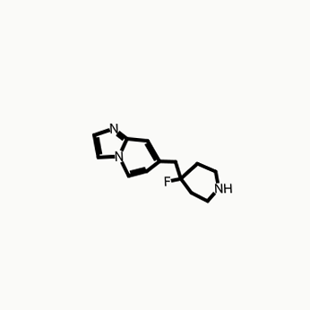 FC1(Cc2ccn3ccnc3c2)CCNCC1